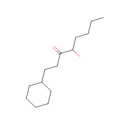 CCCCC(O)C(=O)CCC1CCCCC1